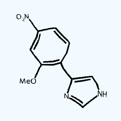 COc1cc([N+](=O)[O-])ccc1-c1c[nH]cn1